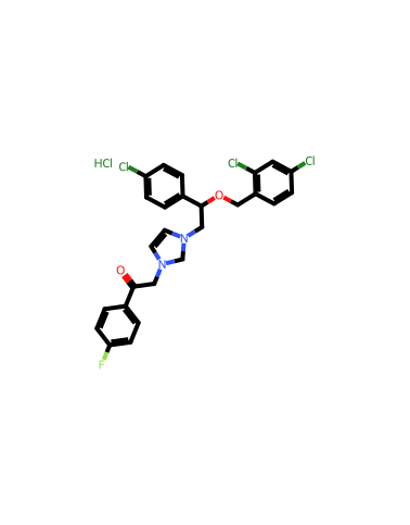 Cl.O=C(CN1C=CN(CC(OCc2ccc(Cl)cc2Cl)c2ccc(Cl)cc2)C1)c1ccc(F)cc1